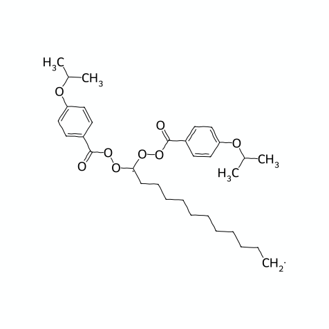 [CH2]CCCCCCCCCC[C](OOC(=O)c1ccc(OC(C)C)cc1)OOC(=O)c1ccc(OC(C)C)cc1